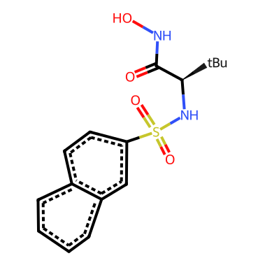 CC(C)(C)[C@@H](NS(=O)(=O)c1ccc2ccccc2c1)C(=O)NO